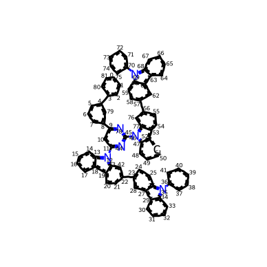 c1ccc(-c2cccc(-c3cc(-n4c5ccccc5c5ccc(-c6ccc7c(c6)c6ccccc6n7-c6ccccc6)cc54)nc(-n4c5ccccc5c5ccc(-c6ccc7c(c6)c6ccccc6n7-c6ccccc6)cc54)n3)c2)cc1